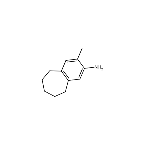 Cc1cc2c(cc1N)CCCCC2